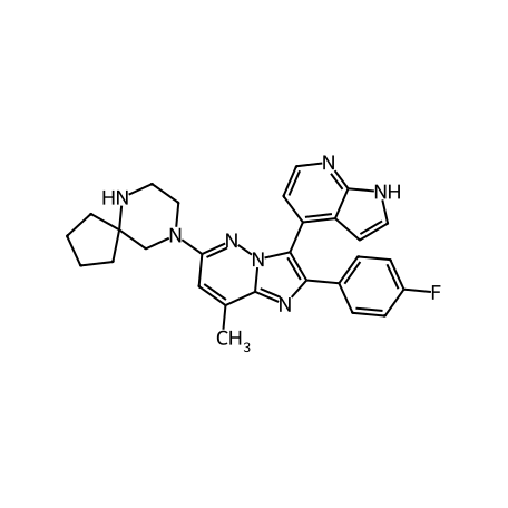 Cc1cc(N2CCNC3(CCCC3)C2)nn2c(-c3ccnc4[nH]ccc34)c(-c3ccc(F)cc3)nc12